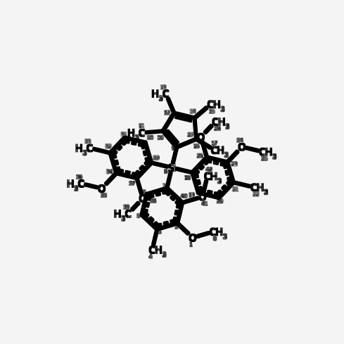 COc1c(C)ccc([Si](C2=C(C)C(C)=C(C)C2C)(c2ccc(C)c(OC)c2OC)c2ccc(C)c(OC)c2OC)c1OC